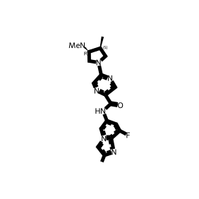 CN[C@H]1CN(c2cnc(C(=O)Nc3cc(F)c4nc(C)cn4c3)cn2)C[C@@H]1C